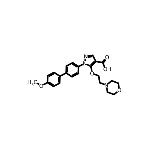 COc1ccc(-c2ccc(-n3ncc(C(=O)O)c3OCCN3CCOCC3)cc2)cc1